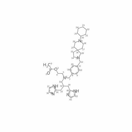 CC(=O)OCCN(Cc1ccc(CN2CCC3(CCN(C4CCCCC4)CC3)C2)cc1)CC(Cc1ncc[nH]1)Cc1ncc[nH]1